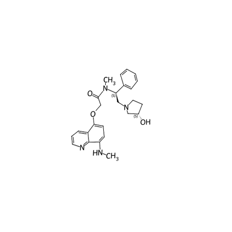 CNc1ccc(OCC(=O)N(C)[C@H](CN2CC[C@H](O)C2)c2ccccc2)c2cccnc12